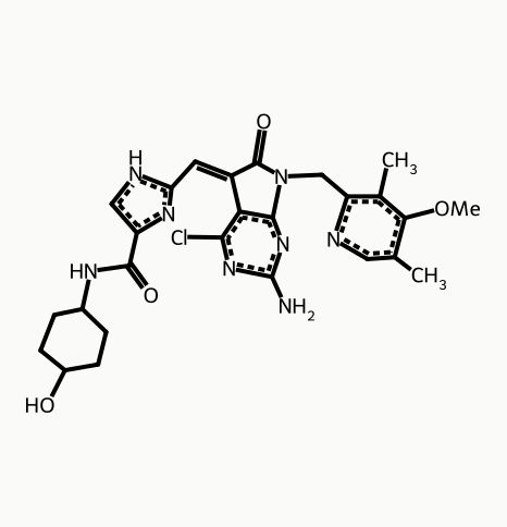 COc1c(C)cnc(CN2C(=O)/C(=C/c3nc(C(=O)NC4CCC(O)CC4)c[nH]3)c3c(Cl)nc(N)nc32)c1C